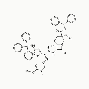 CC(=O)SC1(C(=O)OC(c2ccccc2)c2ccccc2)CS[C@@H]2C(NC(=O)C(=NOCC(C)C(=O)OC(C)(C)C)c3csc(NC(c4ccccc4)(c4ccccc4)c4ccccc4)n3)C(=O)N2C1